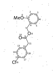 COc1ccccc1COC(=O)Cc1ccc(Cl)cc1